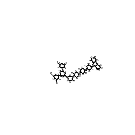 Cc1cc(C)cc(-c2nc(-c3cc(C)cc(C)c3)nc(-c3cccc(-c4ccc(-c5ccc(-c6ccc(-n7c8ccccc8c8ccccc87)cc6)cc5)cc4)c3)n2)c1